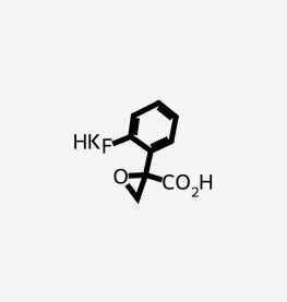 O=C(O)C1(c2ccccc2F)CO1.[KH]